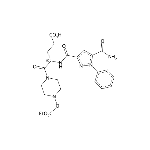 CCOC(=O)ON1CCN(C(=O)[C@H](CCC(=O)O)NC(=O)c2cc(C(N)=O)n(-c3ccccc3)n2)CC1